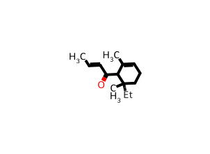 CC=CC(=O)C1C(C)=CCCC1(C)CC